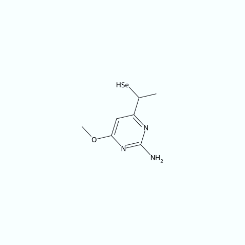 COc1cc(C(C)[SeH])nc(N)n1